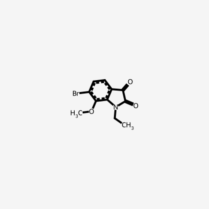 CCN1C(=O)C(=O)c2ccc(Br)c(OC)c21